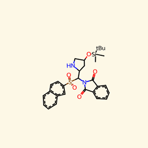 CC(C)(C)[Si](C)(C)OC1CNC(C(N2C(=O)c3ccccc3C2=O)S(=O)(=O)c2ccc3ccccc3c2)C1